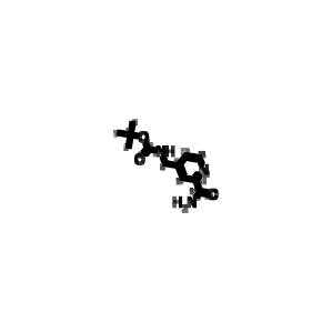 CC(C)(C)OC(=O)NCc1ccnc(C(N)=O)c1